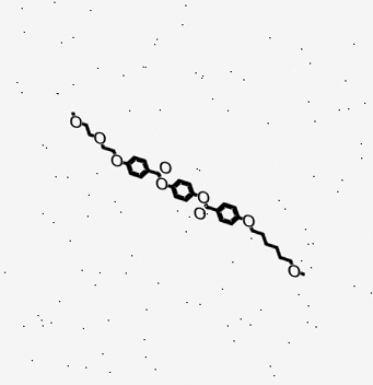 COCCCCCCOc1ccc(C(=O)Oc2ccc(OC(=O)c3ccc(OCCOCCOC)cc3)cc2)cc1